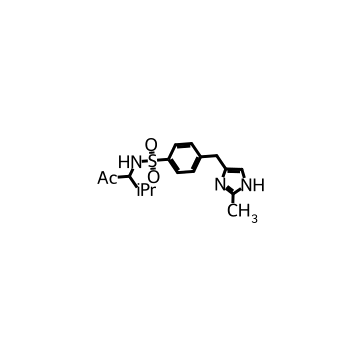 CC(=O)C(NS(=O)(=O)c1ccc(Cc2c[nH]c(C)n2)cc1)C(C)C